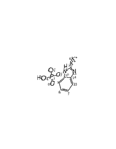 O=P([O-])([O-])O.[K+].[K+].c1ccc2[nH]cnc2c1